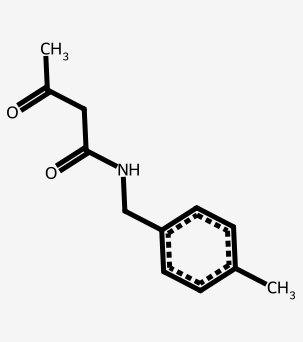 CC(=O)CC(=O)NCc1ccc(C)cc1